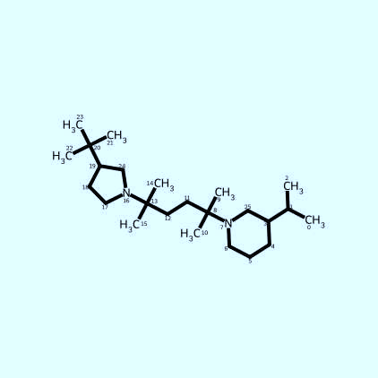 CC(C)C1CCCN(C(C)(C)CCC(C)(C)N2CCC(C(C)(C)C)C2)C1